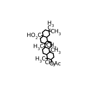 CC(=O)OC1CCC2(C)C(CCC3(C)C2CC=C2C4CC(C)(C)CCC4(C(=O)O)CCC23C)C1(C)C